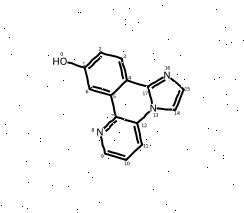 Oc1ccc2c(c1)c1ncccc1n1ccnc21